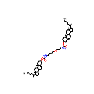 CC(C)CCCC(C)C1CCC2C3CC=C4CC(OC(=O)NCCCCOCCCNC(=O)OC5CCC6(C)C(=CCC7C6CCC6(C)C(C(C)CCCC(C)C)CCC76)C5)CCC4(C)C3CCC12C